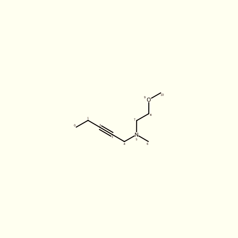 CCC#CCN(C)CCOC